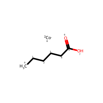 CCCCCC(=O)O.[2Co]